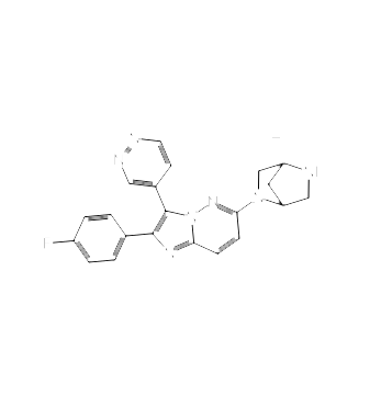 Fc1ccc(-c2nc3ccc(N4C[C@@H]5CC4CN5)nn3c2-c2ccnnc2)cc1